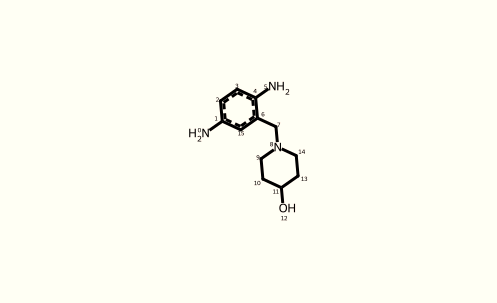 Nc1ccc(N)c(CN2CCC(O)CC2)c1